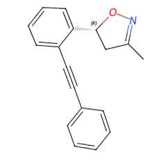 CC1=NO[C@@H](c2ccccc2C#Cc2ccccc2)C1